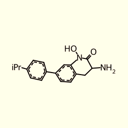 CC(C)c1ccc(-c2ccc3c(c2)N(O)C(=O)C(N)C3)cc1